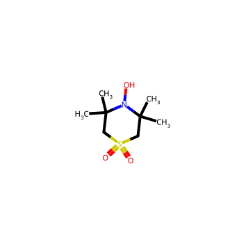 CC1(C)CS(=O)(=O)CC(C)(C)N1O